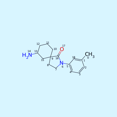 Cc1cccc(N2CCC3(CCCC(N)C3)C2=O)c1